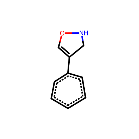 C1=C(c2ccccc2)CNO1